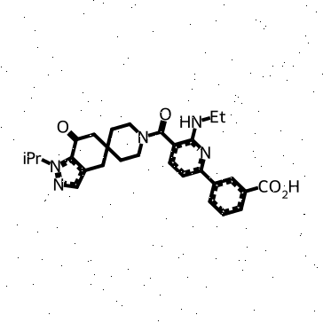 CCNc1nc(-c2cccc(C(=O)O)c2)ccc1C(=O)N1CCC2(CC1)CC(=O)c1c(cnn1C(C)C)C2